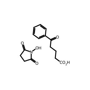 O=C(O)CCCC(=O)c1ccccc1.O=C1CCC(=O)N1O